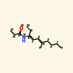 CCCC/C(C)=C/C=C(\CC)NC(=O)CC